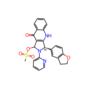 CS(=O)(=O)OC1c2c([nH]c3ccccc3c2=O)[C@@H](c2ccc3c(c2)CCO3)N1c1ccccn1